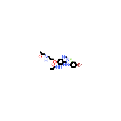 C=CC(=O)Nc1cc2c(Nc3ccc(Br)cc3F)ncnc2cc1OCCCNCC(C)=O